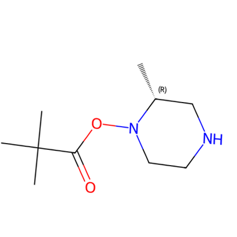 C[C@@H]1CNCCN1OC(=O)C(C)(C)C